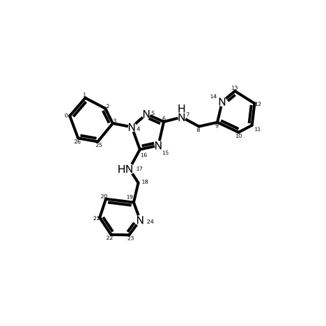 c1ccc(-n2nc(NCc3ccccn3)nc2NCc2ccccn2)cc1